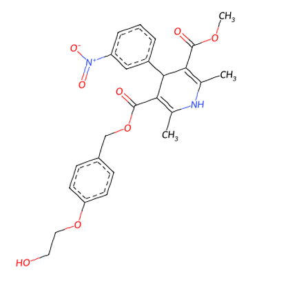 COC(=O)C1=C(C)NC(C)=C(C(=O)OCc2ccc(OCCO)cc2)C1c1cccc([N+](=O)[O-])c1